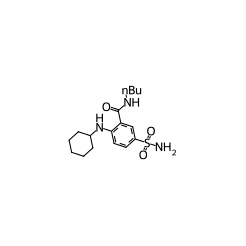 CCCCNC(=O)c1cc(S(N)(=O)=O)ccc1NC1CCCCC1